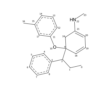 CCC(c1ccccc1)C1(Oc2cccc(C)c2)C=CC=C(NC)C1